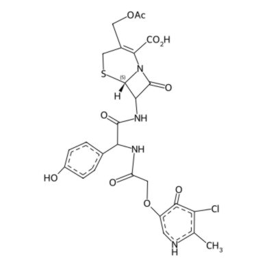 CC(=O)OCC1=C(C(=O)O)N2C(=O)C(NC(=O)C(NC(=O)COc3c[nH]c(C)c(Cl)c3=O)c3ccc(O)cc3)[C@@H]2SC1